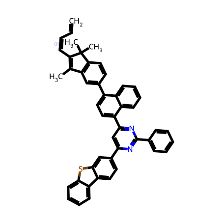 C=C/C=C\C1=C(C)c2cc(-c3ccc(-c4cc(-c5ccc6c(c5)sc5ccccc56)nc(-c5ccccc5)n4)c4ccccc34)ccc2C1(C)C